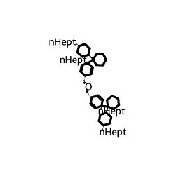 CCCCCCC[C@H]1CC[C@H](C2([C@]3(CCCCCCC)C=C[C@@H](COC[C@H]4C=C[C@](CCCCCCC)(C5([C@H]6CC[C@H](CCCCCCC)CC6)CCCCC5)C=C4)C=C3)CCCCC2)CC1